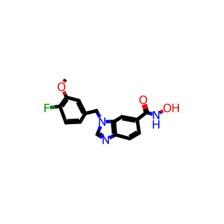 COc1cc(Cn2cnc3ccc(C(=O)NO)cc32)ccc1F